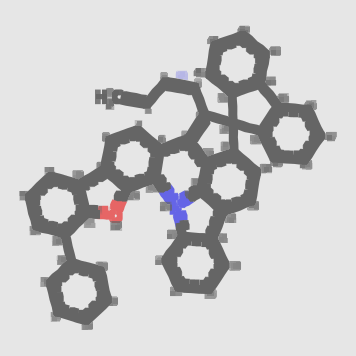 C=C/C=C\C1=c2c3ccc4c5cccc(-c6ccccc6)c5oc4c3n3c4ccccc4c4ccc(c2c43)C12c1ccccc1-c1ccccc12